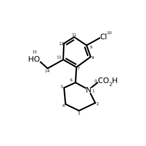 O=C(O)N1CCCCC1c1cc(Cl)ccc1CO